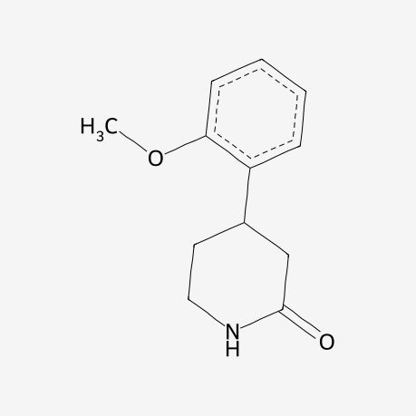 COc1ccccc1C1CCNC(=O)C1